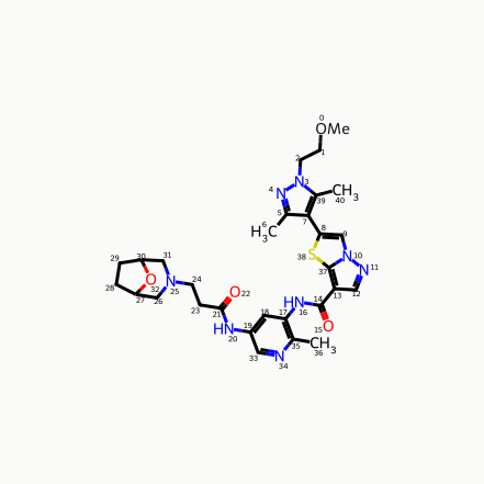 COCCn1nc(C)c(-c2cn3ncc(C(=O)Nc4cc(NC(=O)CCN5CC6CCC(C5)O6)cnc4C)c3s2)c1C